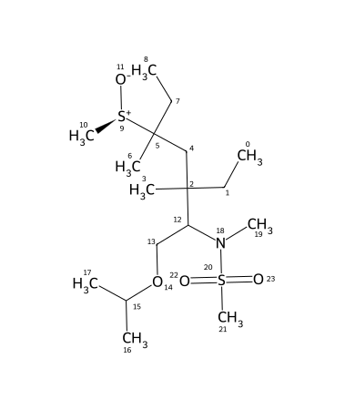 CCC(C)(CC(C)(CC)[S@@+](C)[O-])C(COC(C)C)N(C)S(C)(=O)=O